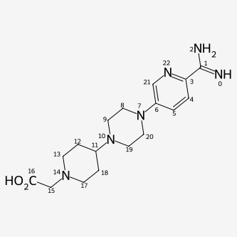 N=C(N)c1ccc(N2CCN(C3CCN(CC(=O)O)CC3)CC2)cn1